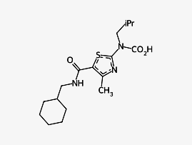 Cc1nc(N(CC(C)C)C(=O)O)sc1C(=O)NCC1CCCCC1